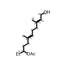 CCC(CC/C(C)=C/CC/C(C)=C/CO)OC(C)=O